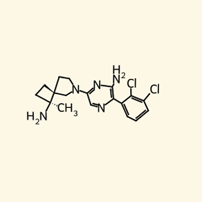 C[C@]1(N)CC[C@]12CCN(c1cnc(-c3cccc(Cl)c3Cl)c(N)n1)C2